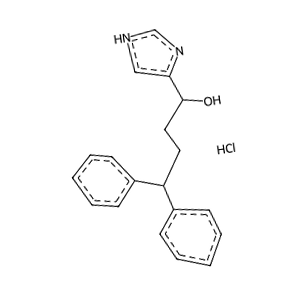 Cl.OC(CCC(c1ccccc1)c1ccccc1)c1c[nH]cn1